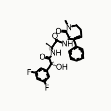 C[C@H](NC(=O)[C@H](O)c1cc(F)cc(F)c1)C(=O)N[C@@H]1C(=O)N(C)CCC=C1c1ccccc1